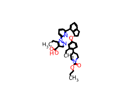 CCCOC(=O)N1CCC(c2ccc(O[C@H]3CCc4cccc(-c5cccc(-n6ncc(C(=O)O)c6CC)n5)c43)cc2CC)CC1